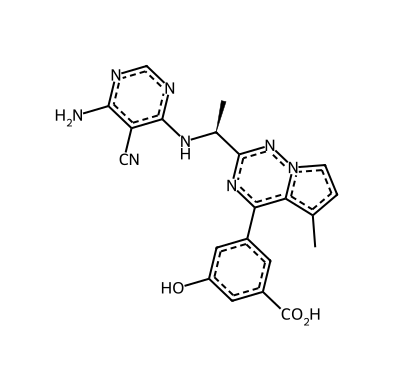 Cc1ccn2nc([C@H](C)Nc3ncnc(N)c3C#N)nc(-c3cc(O)cc(C(=O)O)c3)c12